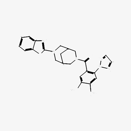 COc1cc(C(=O)N2CC3CC(C2)CN(c2nc4ccccc4s2)C3)c(-n2nccn2)cc1OC